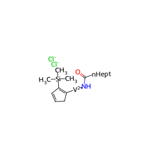 CCCCCCCC(=O)[NH][V+2][C]1=C([Si](C)(C)C)C=CC1.[Cl-].[Cl-]